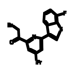 CC(C)c1cc(C(=O)CBr)nc(-c2csc3c(F)cccc23)c1